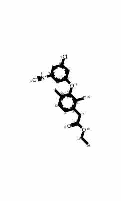 [C-]#[N+]c1cc(Cl)cc(Oc2c(C)ccc(CC(=O)OCC)c2F)c1